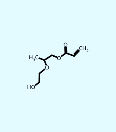 C=CC(=O)OCC(C)OCCO